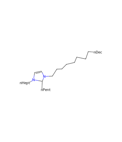 CCCCCCCCCCCCCCCCCCN1C=CN(CCCCCCC)C1CCCCC